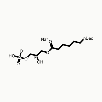 CCCCCCCCCCCCCCCC(=O)OC[C@@H](O)COP(=O)([O-])O.[Na+]